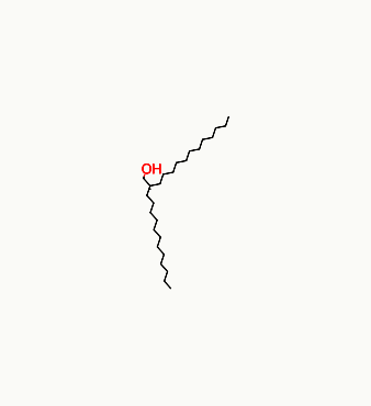 CCCCCCCCCCCC[C](CO)CCCCCCCCCCCC